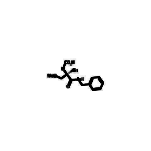 COC[C@@](OC(=O)O)(C(=O)[AsH]Cc1ccccc1)C(C)(C)C